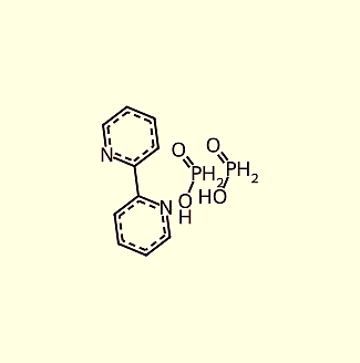 O=[PH2]O.O=[PH2]O.c1ccc(-c2ccccn2)nc1